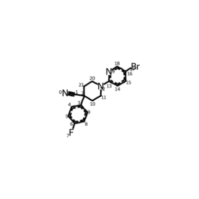 N#CC1(c2ccc(F)cc2)CCN(c2ccc(Br)cn2)CC1